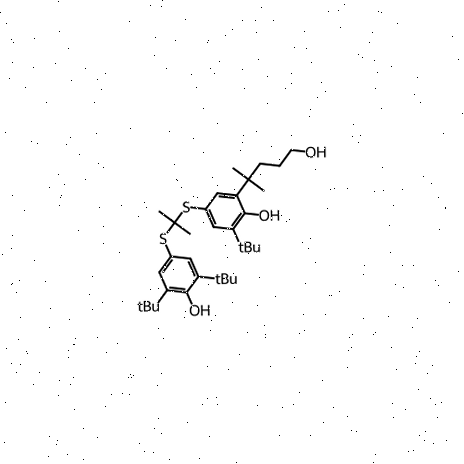 CC(C)(Sc1cc(C(C)(C)C)c(O)c(C(C)(C)C)c1)Sc1cc(C(C)(C)C)c(O)c(C(C)(C)CCCO)c1